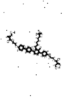 C=C(CO)C(=O)OCCOc1ccc(-c2ccc(-c3ccc(-c4ccc(OCCOC(=O)C(=C)CO)cc4)c(C)c3CCCCCCC(F)(F)F)cc2)cc1